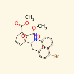 COC(=O)C1=C(C(=O)OC)C2(C(Cc3ccc(Br)cc3)Nc3ccccc3)C=CC1O2